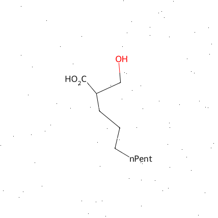 CCCCCCCCC(CO)C(=O)O